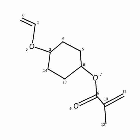 C=COC1CCC(OC(=O)C(=C)C)CC1